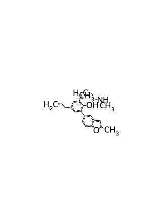 C=CCc1cc(C)c(O)c(-c2ccc3oc(C)cc3c2)c1.CCCNC